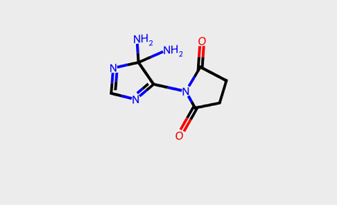 NC1(N)N=CN=C1N1C(=O)CCC1=O